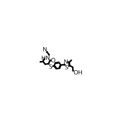 Cc1nc(-c2ccc(SC(CC(C)C)C(=O)NCC#N)cc2)sc1CCO